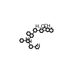 CC1(C)c2cc(-c3cccc(-c4ccc(-c5nc(-c6ccccc6)cc(-c6cccc(-c7cccnc7)c6)n5)c5ccccc45)c3)ccc2-c2cc3ccccc3cc21